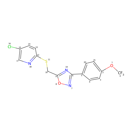 FC(F)(F)Oc1ccc(-c2noc(CSc3ccc(Cl)cn3)n2)cc1